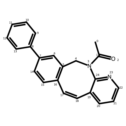 CC(=O)N1Cc2cc(-c3ccccc3)ccc2C=Cc2cccnc21